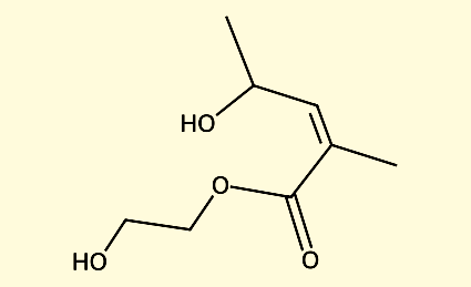 CC(=CC(C)O)C(=O)OCCO